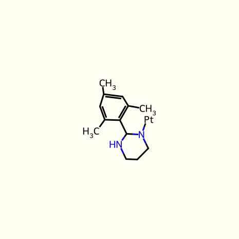 Cc1cc(C)c(C2NCCC[N]2[Pt])c(C)c1